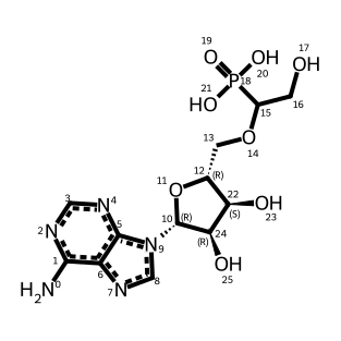 Nc1ncnc2c1ncn2[C@@H]1O[C@H](COC(CO)P(=O)(O)O)[C@@H](O)[C@H]1O